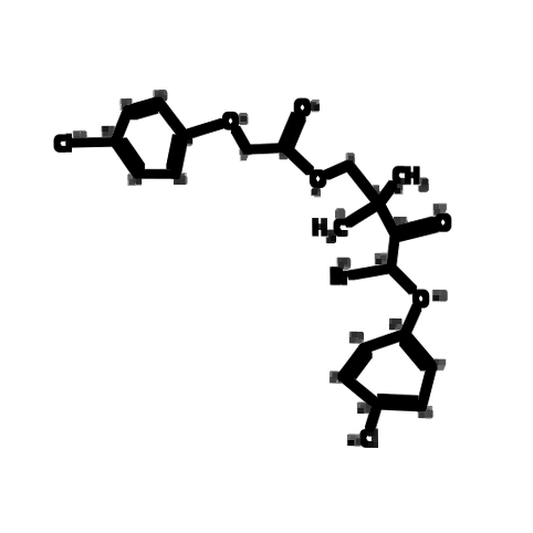 CC(C)(COC(=O)COc1ccc(Cl)cc1)C(=O)C(Br)Oc1ccc(Cl)cc1